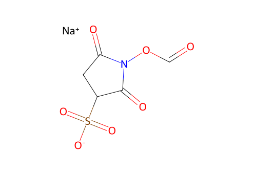 O=CON1C(=O)CC(S(=O)(=O)[O-])C1=O.[Na+]